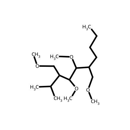 CCCCC(COC)C(OC)C(OC)C(COC)C(C)C